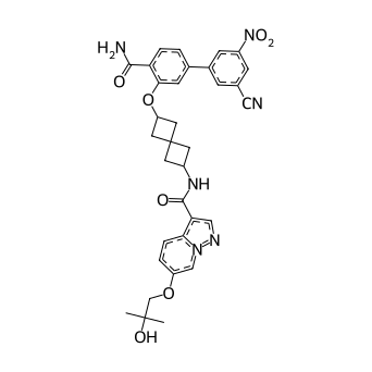 CC(C)(O)COc1ccc2c(C(=O)NC3CC4(C3)CC(Oc3cc(-c5cc(C#N)cc([N+](=O)[O-])c5)ccc3C(N)=O)C4)cnn2c1